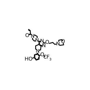 C=CC(=O)N1CCN(c2nc(OCCCN3CCOCC3)nc3c2CCN(c2cc(O)ccc2OC(F)(F)F)C3)CC1